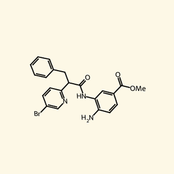 COC(=O)c1ccc(N)c(NC(=O)C(Cc2ccccc2)c2ccc(Br)cn2)c1